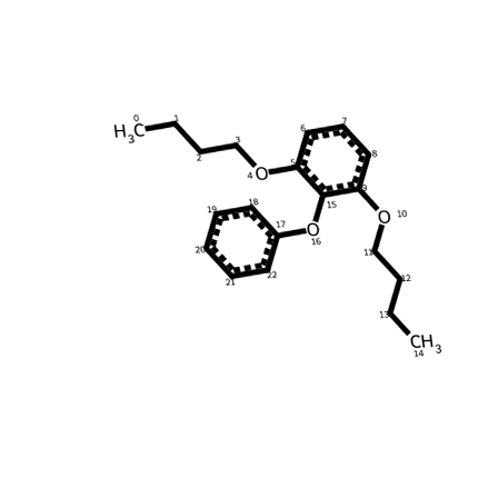 CCCCOc1cccc(OCCCC)c1Oc1ccccc1